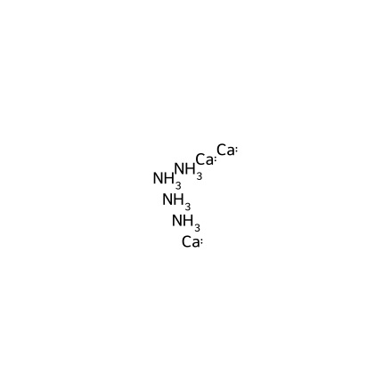 N.N.N.N.[Ca].[Ca].[Ca]